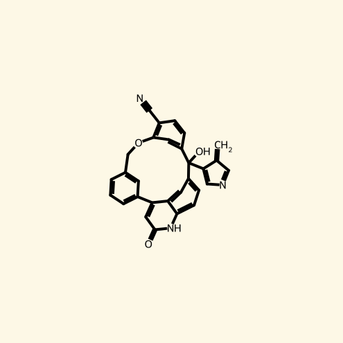 C=C1C=NC=C1C1(O)c2ccc(C#N)c(c2)OCc2cccc(c2)-c2cc(=O)[nH]c3ccc1cc23